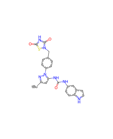 CC(C)(C)c1cc(NC(=O)Nc2ccc3[nH]ccc3c2)n(-c2ccc(Cn3sc(=O)[nH]c3=O)cc2)n1